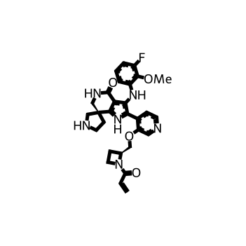 C=CC(=O)N1CC[C@H]1COc1cnccc1-c1[nH]c2c(c1Nc1cccc(F)c1OC)C(=O)NC[C@]21CCNC1